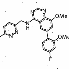 COc1cc(F)ccc1-c1cc(OC)c2ncnc(NCc3ccc(C)nn3)c2c1